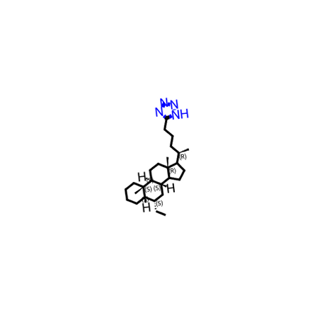 CC[C@H]1C[C@H]2C3CCC([C@H](C)CCCc4nnn[nH]4)[C@@]3(C)CC[C@@H]2[C@@]2(C)CCCC[C@@H]12